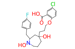 O=C(O)c1cc(Cl)ccc1OCCCC1(O)CCCN(O)C(Cc2ccc(F)cc2)C1